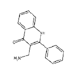 NCc1c(-c2ccccc2)[nH]c2ccccc2c1=O